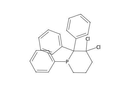 ClC1(Cl)CCCP(c2ccccc2)C1(c1ccccc1)c1ccccc1